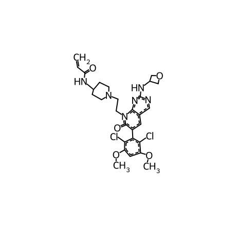 C=CC(=O)NC1CCN(CCn2c(=O)c(-c3c(Cl)c(OC)cc(OC)c3Cl)cc3cnc(NC4COC4)nc32)CC1